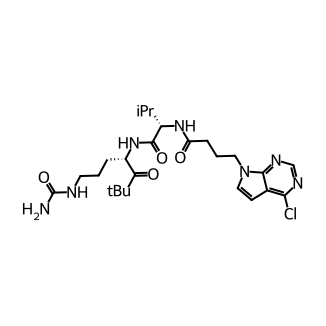 CC(C)[C@H](NC(=O)CCCn1ccc2c(Cl)ncnc21)C(=O)N[C@@H](CCCNC(N)=O)C(=O)C(C)(C)C